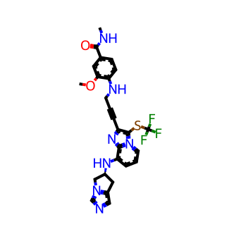 CNC(=O)c1ccc(NCC#Cc2nc3c(N[C@H]4Cc5cncn5C4)cccn3c2SC(F)(F)F)c(OC)c1